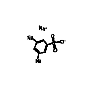 O=S(=O)([O-])c1c[c]([Na])c[c]([Na])c1.[Na+]